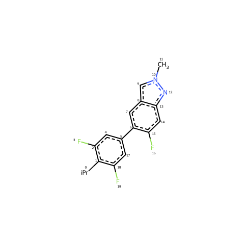 CC(C)c1c(F)cc(-c2cc3cn(C)nc3cc2F)cc1F